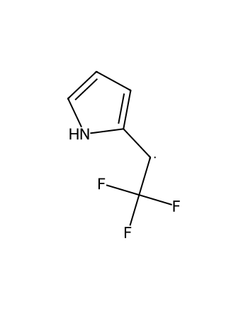 FC(F)(F)[CH]c1ccc[nH]1